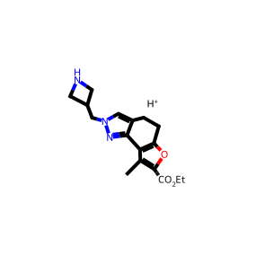 CCOC(=O)c1oc2c(c1C)-c1nn(CC3CNC3)cc1CC2.[H+]